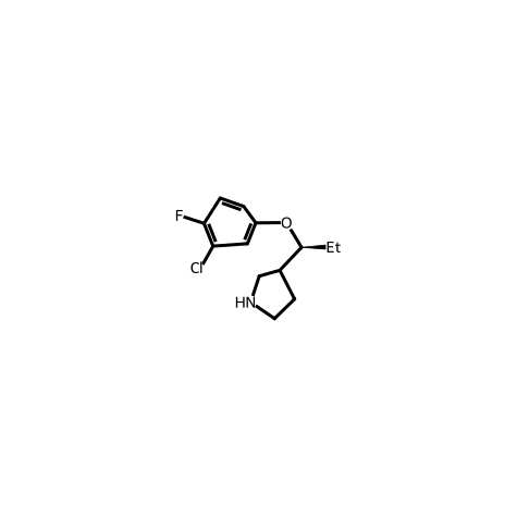 CC[C@H](Oc1ccc(F)c(Cl)c1)C1CCNC1